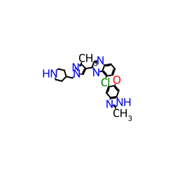 Cc1nc2ccc(Oc3ccc4ncc(-c5cn(CC6CCNCC6)nc5C)nc4c3Cl)cc2[nH]1